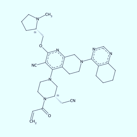 C=CC(=O)N1CCN(c2c(C#N)c(OC[C@@H]3CCCN3C)nc3c2CCN(c2ncnc4c2CCCC4)C3)C[C@@H]1CC#N